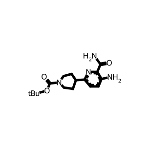 CC(C)(C)OC(=O)N1CCC(c2ccc(N)c(C(N)=O)n2)CC1